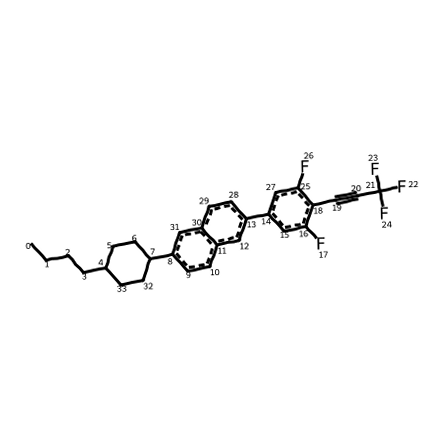 CCCCC1CCC(c2ccc3cc(-c4cc(F)c(C#CC(F)(F)F)c(F)c4)ccc3c2)CC1